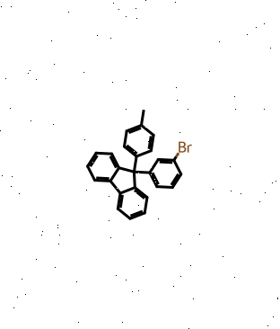 Cc1ccc(C2(c3cccc(Br)c3)c3ccccc3-c3ccccc32)cc1